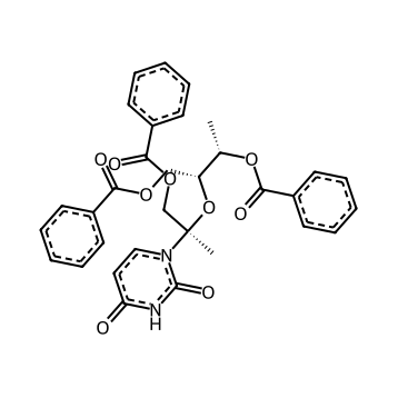 C[C@H](OC(=O)c1ccccc1)[C@@H](COC(=O)c1ccccc1)O[C@](C)(COC(=O)c1ccccc1)n1ccc(=O)[nH]c1=O